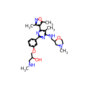 CNCC(O)COc1cccc(-c2nc(NCC3CN(C)CCO3)c(C)c(-c3c(C)noc3C)n2)c1